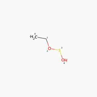 [CH2]COSO